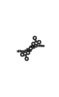 CCCCCCC1(CCCCCC)c2ccccc2N(c2ccccc2)c2ccc3c(sc4cc5c(cc43)sc3c4c(ccc35)N(c3ccccc3)c3ccccc3C4(CCCCCC)CCCCCC)c21